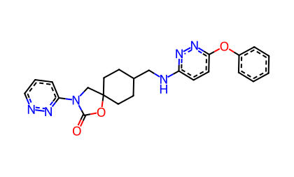 O=C1OC2(CCC(CNc3ccc(Oc4ccccc4)nn3)CC2)CN1c1cccnn1